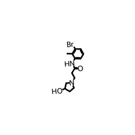 Cc1c(Br)cccc1NC(=O)CCN1CCC(O)C1